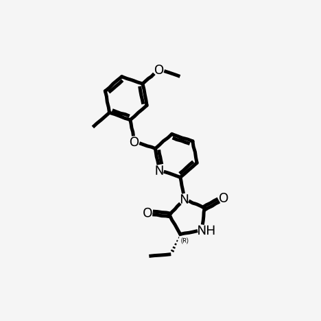 CC[C@H]1NC(=O)N(c2cccc(Oc3cc(OC)ccc3C)n2)C1=O